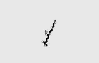 COCCOCCOC(=O)CCCC(=O)O.[Zn]